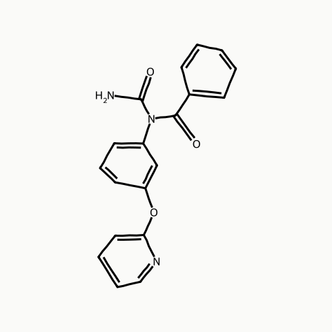 NC(=O)N(C(=O)c1ccccc1)c1cccc(Oc2ccccn2)c1